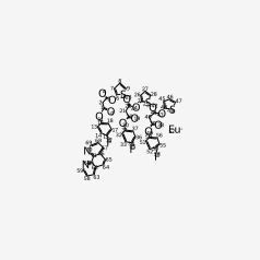 O=C(CC(=O)Oc1cccs1)Oc1ccc(F)cc1.O=C(CC(=O)Oc1cccs1)Oc1ccc(F)cc1.O=C(CC(=O)Oc1cccs1)Oc1ccc(F)cc1.[Eu].c1cnc2c(c1)ccc1cccnc12